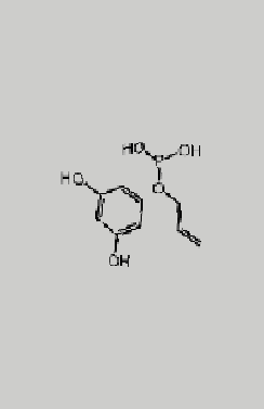 C=CCOP(O)O.Oc1cccc(O)c1